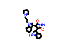 O=C1NC(=O)C(c2cn(CCCN3CCCCC3)c3ccccc23)=C1c1c[nH]c2ccccc12